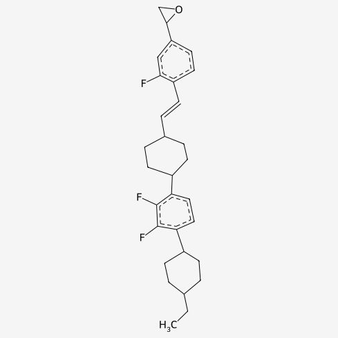 CCC1CCC(c2ccc(C3CCC(/C=C/c4ccc(C5CO5)cc4F)CC3)c(F)c2F)CC1